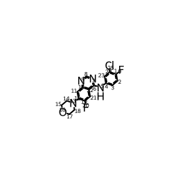 Fc1ccc(Nc2ncnc3cc(N4CCOCC4)c(F)cc23)cc1Cl